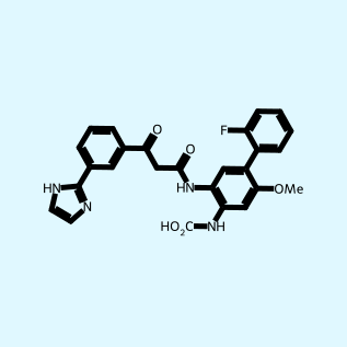 COc1cc(NC(=O)O)c(NC(=O)CC(=O)c2cccc(-c3ncc[nH]3)c2)cc1-c1ccccc1F